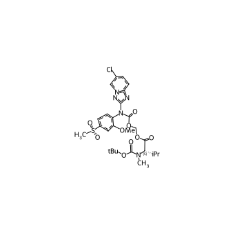 COc1cc(S(C)(=O)=O)ccc1N(C(=O)OCOC(=O)[C@H](C(C)C)N(C)C(=O)OC(C)(C)C)c1nc2ccc(Cl)cn2n1